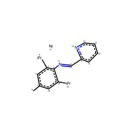 Cc1cc(C(C)C)c(N=Cc2ccccn2)c(C(C)C)c1.[Ni]